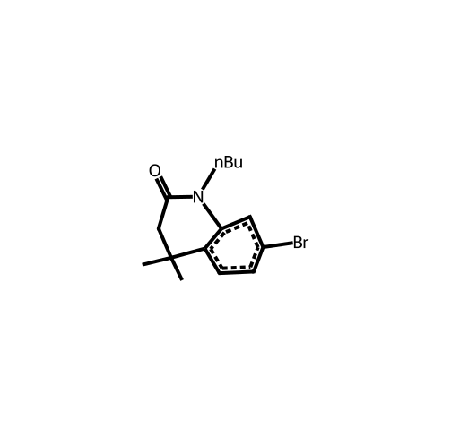 CCCCN1C(=O)CC(C)(C)c2ccc(Br)cc21